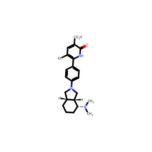 CCc1cc(C(=O)O)c(=O)[nH]c1-c1ccc(N2C[C@H]3CCC[C@@H](N(C)C)[C@H]3C2)cc1